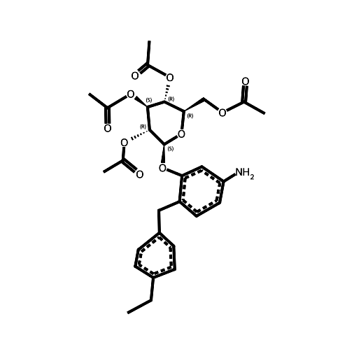 CCc1ccc(Cc2ccc(N)cc2O[C@@H]2O[C@H](COC(C)=O)[C@@H](OC(C)=O)[C@H](OC(C)=O)[C@H]2OC(C)=O)cc1